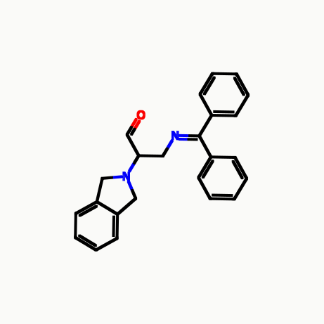 O=CC(CN=C(c1ccccc1)c1ccccc1)N1Cc2ccccc2C1